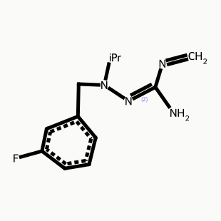 C=N/C(N)=N\N(Cc1cccc(F)c1)C(C)C